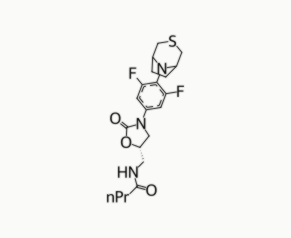 CCCC(=O)NC[C@H]1CN(c2cc(F)c(N3C4CCC3CSC4)c(F)c2)C(=O)O1